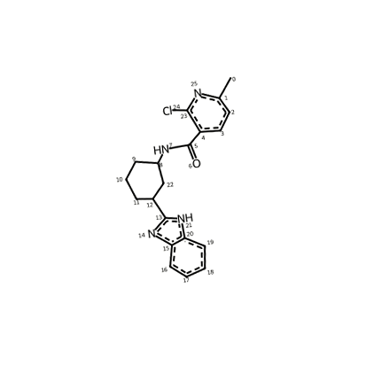 Cc1ccc(C(=O)NC2CCCC(c3nc4ccccc4[nH]3)C2)c(Cl)n1